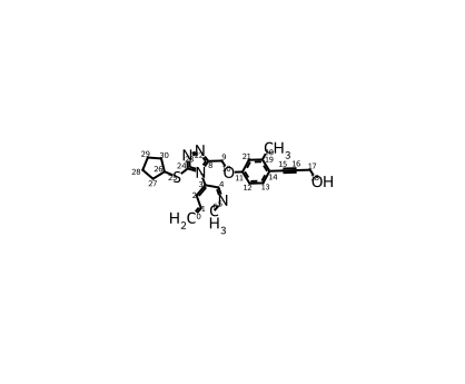 C=C/C=C(\C=N/C)n1c(COc2ccc(C#CCO)c(C)c2)nnc1SC1CCCC1